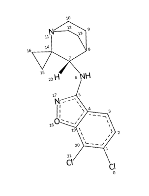 Clc1ccc2c(N[C@H]3C4CCN(CC4)C34CC4)noc2c1Cl